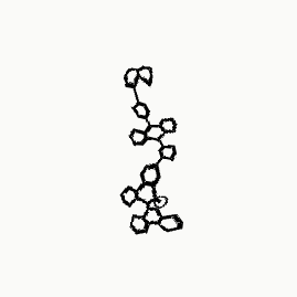 c1cc(-c2ccc3c4ccccc4c4c(oc5c6ccccc6c6ccccc6c54)c3c2)cc(-c2c3ccccc3c(-c3ccc(-c4cccc5ccccc45)cc3)c3ccccc23)c1